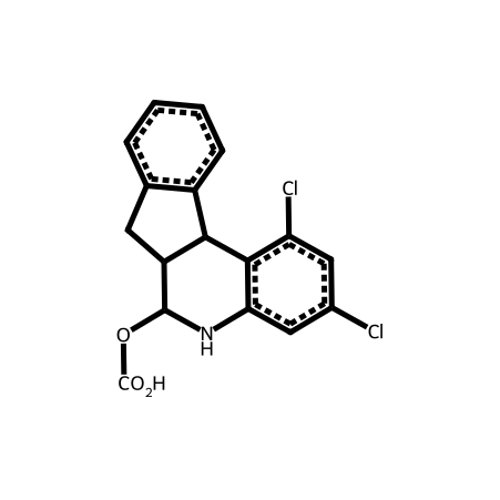 O=C(O)OC1Nc2cc(Cl)cc(Cl)c2C2c3ccccc3CC12